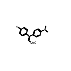 CN(C)c1ccc(/C(=C\C=O)c2ccc(Cl)cc2)cc1